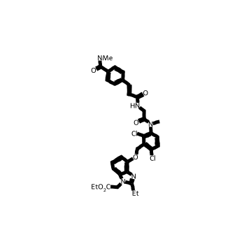 CCOC(=O)Cn1c(CC)nc2c(OCc3c(Cl)ccc(N(C)C(=O)CNC(=O)C=Cc4ccc(C(=O)NC)cc4)c3Cl)cccc21